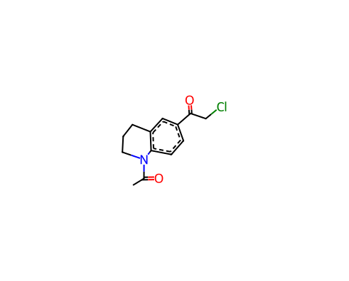 CC(=O)N1CCCc2cc(C(=O)CCl)ccc21